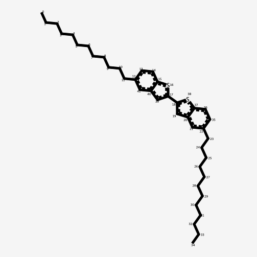 CCCCCCCCCCCCc1ccc2sc(-c3cc4cc(CCCCCCCCCCCC)ccc4s3)cc2c1